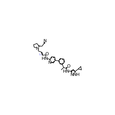 CC(C(=O)Nc1cc(C2CC2)[nH]n1)c1cccc(-c2ccc(NC(=O)/C=C/CN3CCC[C@H]3CC#N)nc2)c1